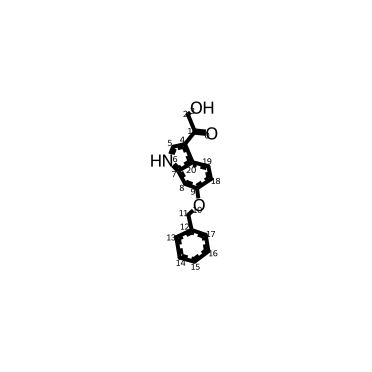 O=C(CO)c1c[nH]c2cc(OCc3ccccc3)ccc12